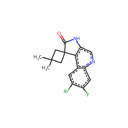 CC1(C)CC2(C1)C(=O)Nc1cnc3cc(F)c(Br)cc3c12